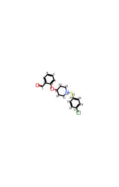 O=Cc1ccccc1OC1CCN(Sc2ccc(Cl)cc2)CC1